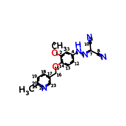 COc1cc(NN=C(C#N)C#N)ccc1OCc1ccc(C)nc1